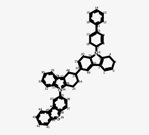 C1=CC2=C(CC1)N(C1C=CC(c3ccccc3)=CC1)C1CC=C(C3CCc4c(c5ccccc5n4-c4ccc5sc6ccccc6c5c4)C3)C=C21